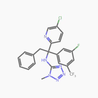 Cn1nnnc1NC(Cc1ccccc1)(c1cc(F)cc(C(F)(F)F)c1)c1ccc(Cl)cn1